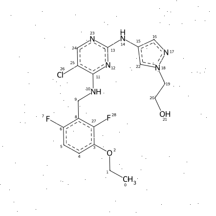 CCOc1ccc(F)c(CNc2nc(Nc3cnn(CCO)c3)ncc2Cl)c1F